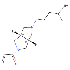 C=CC(=O)N1C[C@H]2CN(CCCC(C)C(C)C)C[C@H]2C1